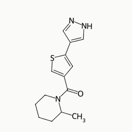 CC1CCCCN1C(=O)c1csc(-c2cn[nH]c2)c1